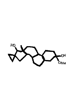 COC1(O)CCC2=C(CCC3C2CCC2(C)C3CC3(CC3)C2O)C1